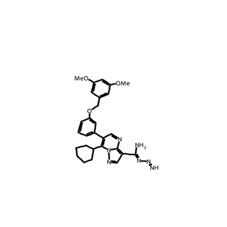 COc1cc(COc2cccc(-c3cnc4c(/C(N)=N/N=N)cnn4c3C3CCCCC3)c2)cc(OC)c1